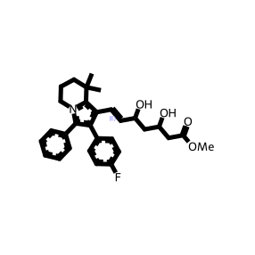 COC(=O)CC(O)CC(O)/C=C/c1c(-c2ccc(F)cc2)c(-c2ccccc2)n2c1C(C)(C)CCC2